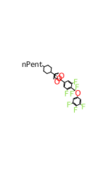 CCCCCC1CCC(C23COC(c4cc(F)c(C(F)(F)Oc5cc(F)c(F)c(F)c5)c(F)c4)(OC2)OC3)CC1